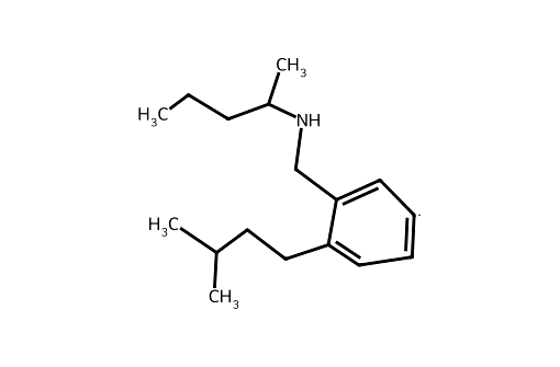 CCCC(C)NCc1c[c]ccc1CCC(C)C